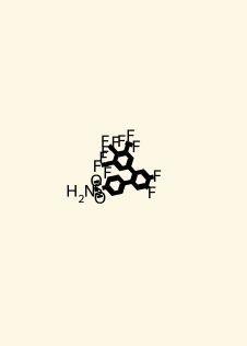 NS(=O)(=O)c1ccc(-c2cc(F)c(F)cc2-c2cc(C(F)(F)F)c(C(F)(F)F)c(C(F)(F)F)c2)cc1